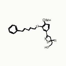 CCC1(CO)CC(c2ccc(OC)c(OCCCCCc3ccccc3)c2)=NO1